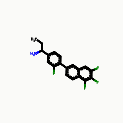 CCC(N)c1ccc(-c2ccc3c(F)c(F)c(F)cc3c2)c(F)c1